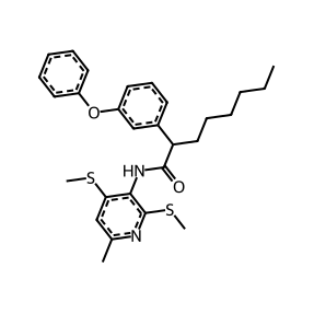 CCCCCCC(C(=O)Nc1c(SC)cc(C)nc1SC)c1cccc(Oc2ccccc2)c1